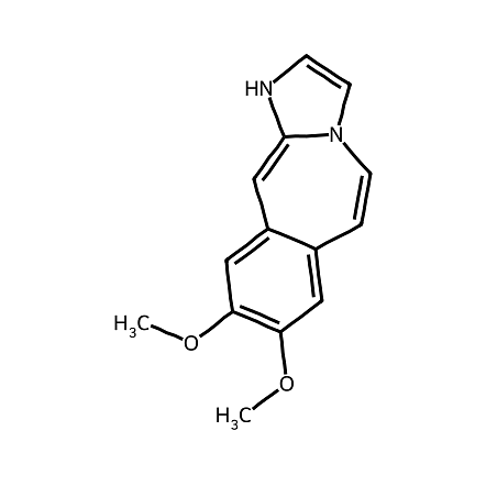 COc1cc2c(cc1OC)C=C1NC=CN1C=C2